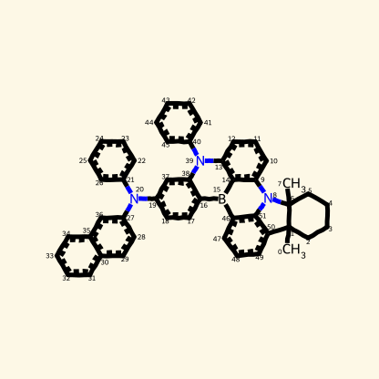 CC12CCCCC1(C)N1c3cccc4c3B(c3ccc(N(c5ccccc5)c5ccc6ccccc6c5)cc3N4c3ccccc3)c3cccc2c31